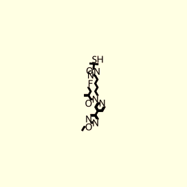 C=C(CCF)C(=O)N(CCCCCc1noc(C(C)(C)S)n1)c1cc(-c2cnc(OCC)nc2)ccn1